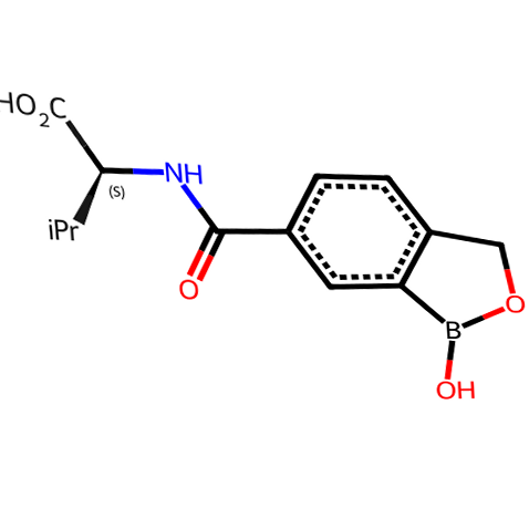 CC(C)[C@H](NC(=O)c1ccc2c(c1)B(O)OC2)C(=O)O